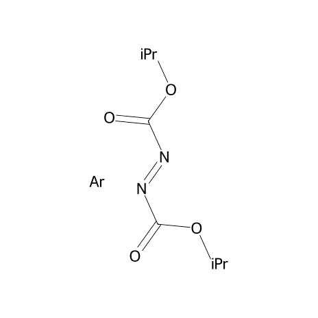 CC(C)OC(=O)N=NC(=O)OC(C)C.[Ar]